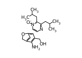 CC(C)Cc1ncc[n+]([O-])c1CC(C)C.Nc1c(CO)cc2cc1CO2